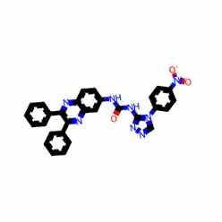 O=C(Nc1ccc2nc(-c3ccccc3)c(-c3ccccc3)nc2c1)Nc1nncn1-c1ccc([N+](=O)[O-])cc1